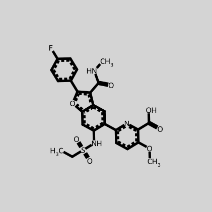 CCS(=O)(=O)Nc1cc2oc(-c3ccc(F)cc3)c(C(=O)NC)c2cc1-c1ccc(OC)c(C(=O)O)n1